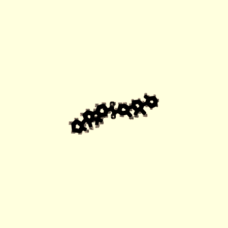 Cc1ccccc1-c1ccc(-c2ccc(C(=O)C(=O)c3ccc4c(c3)C(C)(C)c3c-4ccc(-c4ccccc4C)c3C)cc2C)c(C)c1C